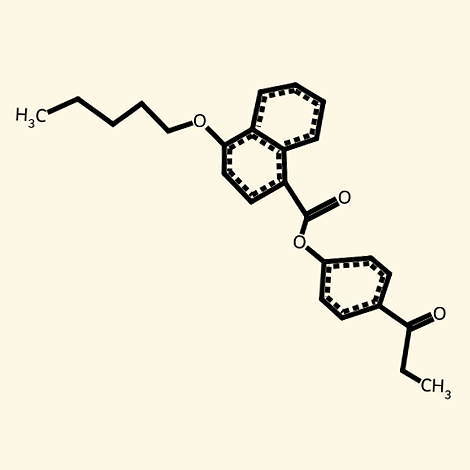 CCCCCOc1ccc(C(=O)Oc2ccc(C(=O)CC)cc2)c2ccccc12